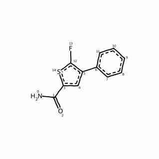 NC(=O)c1cc(-c2ccccc2)c(F)s1